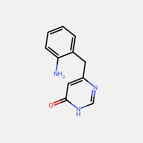 Nc1ccccc1Cc1cc(=O)[nH]cn1